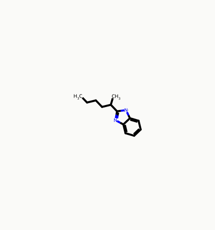 CCCCC(C)C1=Nc2ccccc2[N]1